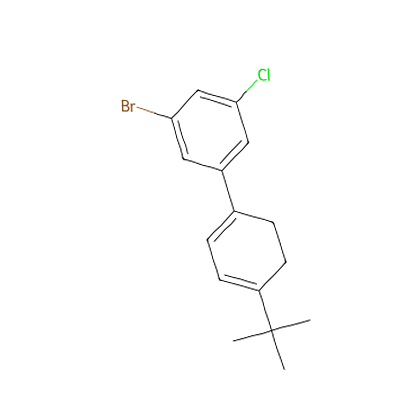 CC(C)(C)C1=CC=C(c2cc(Cl)cc(Br)c2)CC1